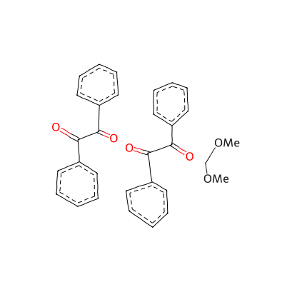 COCOC.O=C(C(=O)c1ccccc1)c1ccccc1.O=C(C(=O)c1ccccc1)c1ccccc1